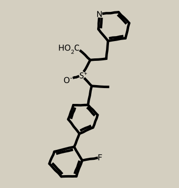 CC(c1ccc(-c2ccccc2F)cc1)[S+]([O-])C(Cc1cccnc1)C(=O)O